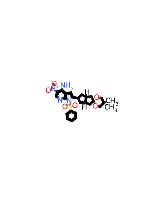 CC1(C)COC2(C[C@H]3CC(c4cc5c(N)c([N+](=O)[O-])cnc5n4S(=O)(=O)c4ccccc4)C[C@H]3C2)OC1